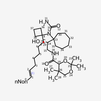 CCCCCCCCC/C=C/CCCCCC1(N(C(N)=O)C2(C(CNC(=O)C3OC(C)(C)OCC3(C)C)C(=O)O)CCCCCC2)CCC1